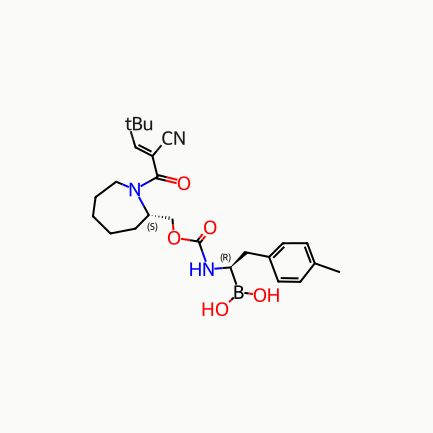 Cc1ccc(C[C@H](NC(=O)OC[C@@H]2CCCCCN2C(=O)C(C#N)=CC(C)(C)C)B(O)O)cc1